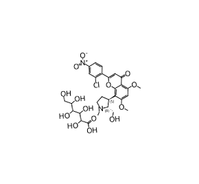 COc1cc(OC)c2c(=O)cc(-c3ccc([N+](=O)[O-])cc3Cl)oc2c1[C@@H]1CCN(C)[C@H]1CO.O=C(O)C(O)C(O)C(O)C(O)CO